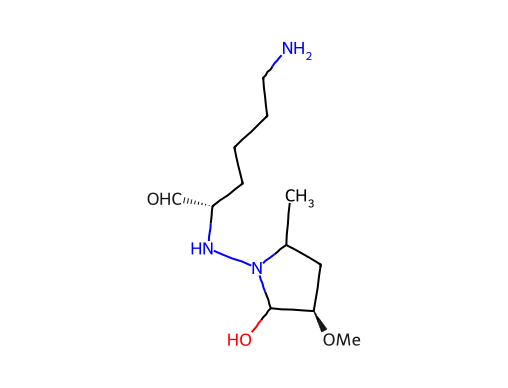 CO[C@@H]1CC(C)N(N[C@H](C=O)CCCCN)C1O